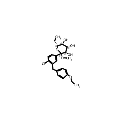 CCOc1ccc(Cc2cc([C@]3(OC)O[C@H](CC)[C@@H](O)[C@H](O)[C@H]3O)ccc2Cl)cc1